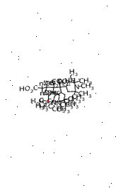 CCCCCCCCCCC(CCCCCCCCCC)(C(=O)O)C(CCCCCCCCCC)(C(=O)O)C(C(=O)O)(C1CC(C)(C)N(C)C(C)(C)C1)C(C(=O)O)(C1CC(C)(C)N(C)C(C)(C)C1)C1CC(C)(C)N(C)C(C)(C)C1